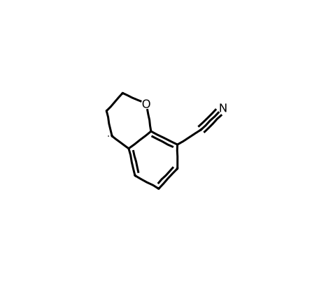 N#Cc1cccc2c1OCC[CH]2